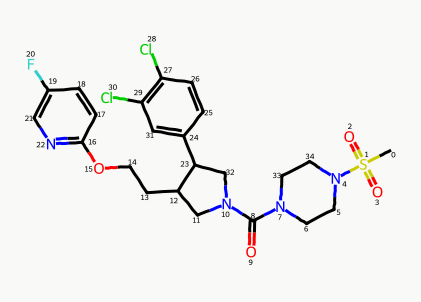 CS(=O)(=O)N1CCN(C(=O)N2CC(CCOc3ccc(F)cn3)C(c3ccc(Cl)c(Cl)c3)C2)CC1